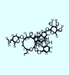 CC[C@H]1CCC[C@H](O[C@H]2CC[C@H](N(C)C)C(C)O2)[C@@H](C)C(=O)C2=C[C@H]3[C@@H]4C[C@H](O[C@@H]5OC(C)[C@H](OC)C(OC)C5OC)C[C@H]4[C@@H](O)[C@H](Nc4ccccc4Cl)[C@H]3[C@@H]2CC(=O)O1